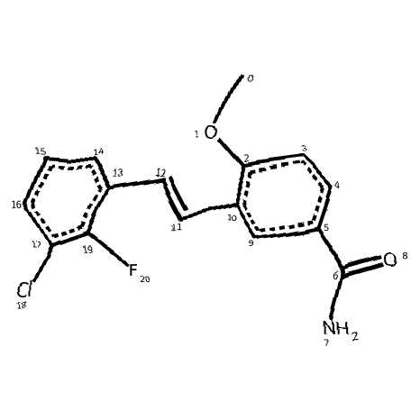 COc1ccc(C(N)=O)cc1C=Cc1cccc(Cl)c1F